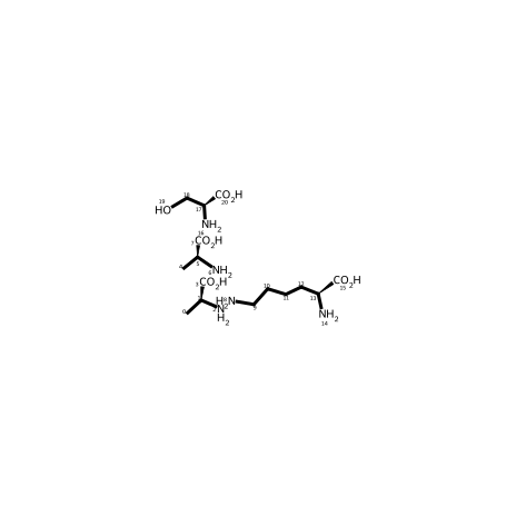 C[C@H](N)C(=O)O.C[C@H](N)C(=O)O.NCCCC[C@H](N)C(=O)O.N[C@@H](CO)C(=O)O